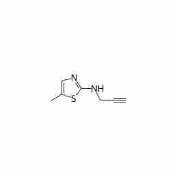 C#CCNc1ncc(C)s1